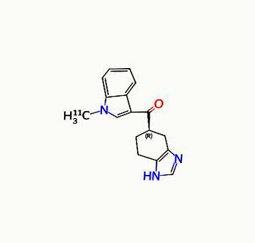 [11CH3]n1cc(C(=O)[C@@H]2CCc3[nH]cnc3C2)c2ccccc21